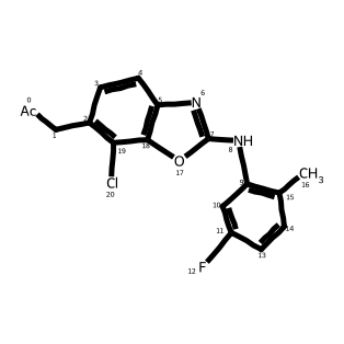 CC(=O)Cc1ccc2nc(Nc3cc(F)ccc3C)oc2c1Cl